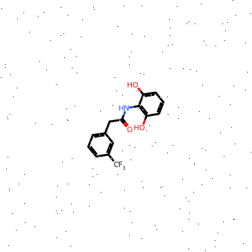 O=C(Cc1cccc(C(F)(F)F)c1)Nc1c(O)cccc1O